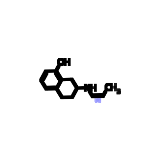 C/C=C\NC1CCc2cccc(O)c2C1